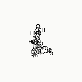 CC[C@H](C)[C@@H]([C@@H](CC(=O)N1[C@H]2C[C@H]2C[C@H]1[C@H](OC)[C@@H](C)C(=O)N[C@@H](Cc1ccccc1)C(=O)O)OC)N(C)C(=O)[C@@H](NC(=O)[C@H](C(C)C)N(C)C(=O)CCCCCN1C(=O)C=CC1=O)C(C)C